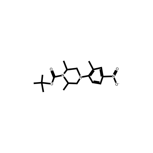 Cc1cc([N+](=O)[O-])ccc1N1CC(C)N(C(=O)OC(C)(C)C)C(C)C1